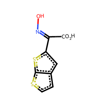 O=C(O)C(=NO)c1cc2ccsc2s1